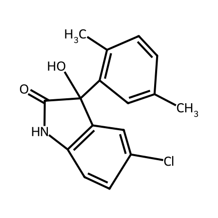 Cc1ccc(C)c(C2(O)C(=O)Nc3ccc(Cl)cc32)c1